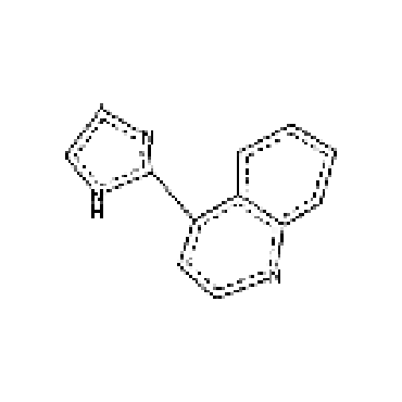 [c]1c[nH]c(-c2ccnc3ccccc23)n1